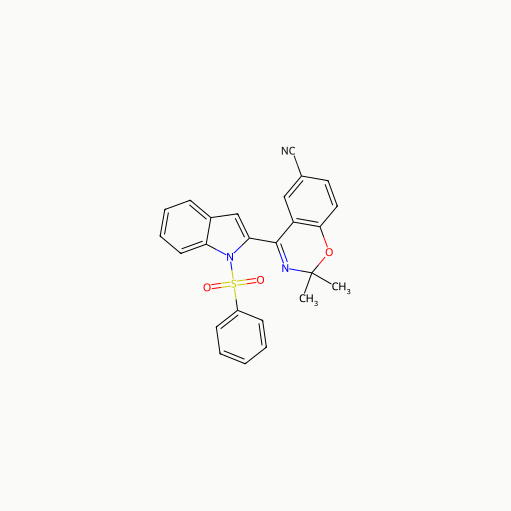 CC1(C)N=C(c2cc3ccccc3n2S(=O)(=O)c2ccccc2)c2cc(C#N)ccc2O1